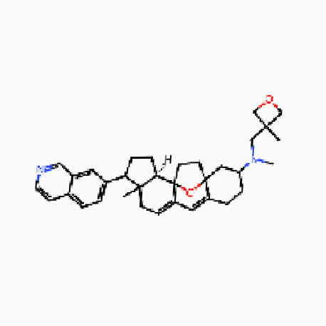 CN(CC1(C)COC1)C1CCC2=CC3=CCC4(C)C(c5ccc6ccncc6c5)CC[C@H]4[C@@]34CC[C@]2(C1)O4